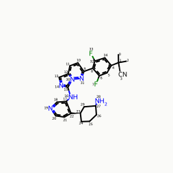 CC(C)(C#N)c1cc(F)c(-c2ccc3cnc(Nc4cnccc4[C@@H]4CCC[C@H](N)C4)n3n2)c(F)c1